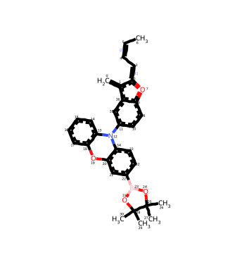 C=c1/c(=C\C=C/C)oc2ccc(N3c4ccccc4Oc4cc(B5OC(C)(C)C(C)(C)O5)ccc43)cc12